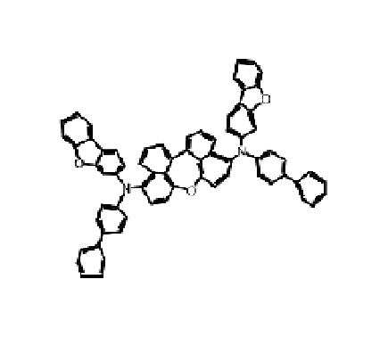 c1ccc(-c2ccc(N(c3ccc4c(c3)oc3ccccc34)c3ccc4oc5ccc(N(c6ccc(-c7ccccc7)cc6)c6ccc7c(c6)oc6ccccc67)c6cccc(c7cccc3c47)c56)cc2)cc1